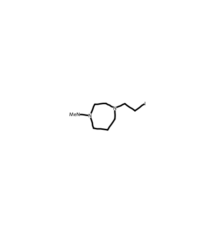 CNN1CCCN(CCI)CC1